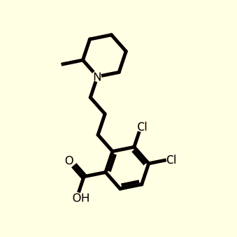 CC1CCCCN1CCCc1c(C(=O)O)ccc(Cl)c1Cl